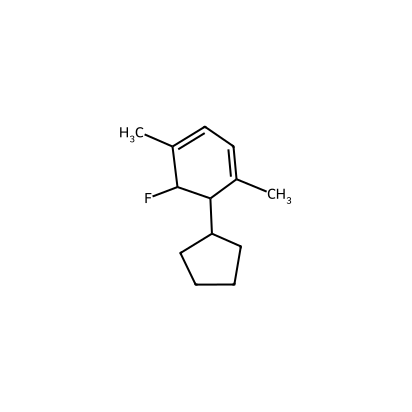 CC1=CC=C(C)C(C2CCCC2)C1F